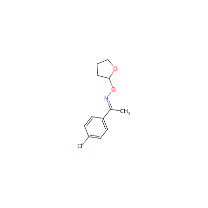 CC(=NOC1CCCO1)c1ccc(Cl)cc1